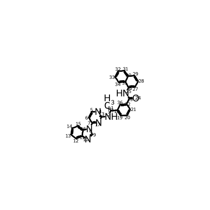 C[C@H](Nc1nccc(-n2cnc3ccccc32)n1)c1cccc(C(=O)Nc2cccc3ccccc23)c1